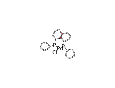 [Cl][Pd-3]([P](c1ccccc1)c1ccccc1)[P](c1ccccc1)c1ccccc1